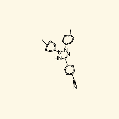 Cc1ccc(N2N=C(c3ccc(C#N)cc3)NN2c2ccc(C)cc2)cc1